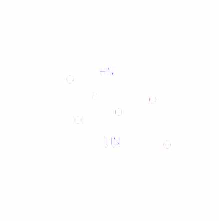 CCOP(=O)(NC(C)=O)ONC(C)=O